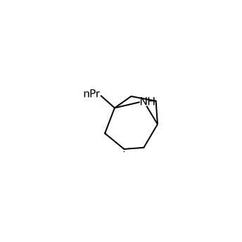 CCCC12C[CH]CC(CC1)N2